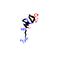 COc1cc(Nc2ncccc2/C=C/C(=O)NCCCCNN)cc(C)c1OC